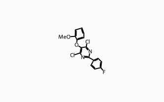 COc1ccccc1Oc1c(Cl)nc(-c2ccc(F)cc2)nc1Cl